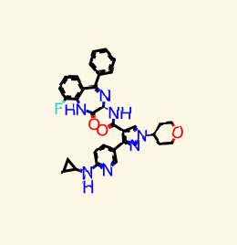 O=C(N[C@H]1N=C(c2ccccc2)c2cccc(F)c2NC1=O)c1cn(C2CCOCC2)nc1-c1ccc(NC2CC2)nc1